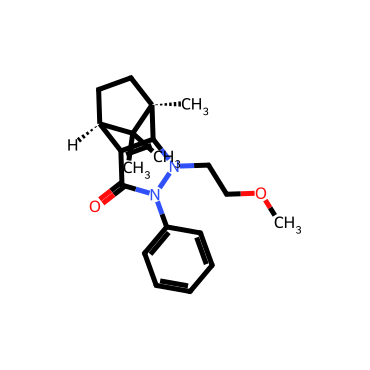 COCCn1c2c(c(=O)n1-c1ccccc1)[C@H]1CC[C@]2(C)C1(C)C